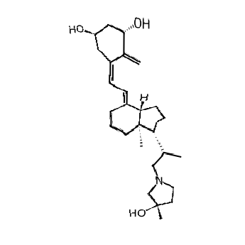 C=C1/C(=C\C=C2/CCC[C@]3(C)[C@@H](C(C)CN4CC[C@](C)(O)C4)CC[C@@H]23)C[C@@H](O)C[C@@H]1O